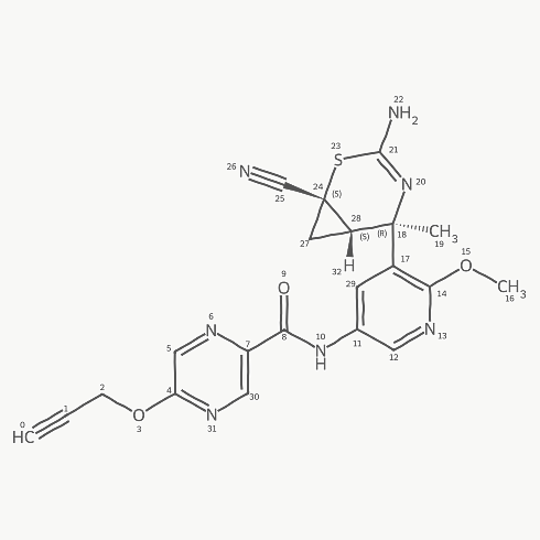 C#CCOc1cnc(C(=O)Nc2cnc(OC)c([C@]3(C)N=C(N)S[C@@]4(C#N)C[C@@H]34)c2)cn1